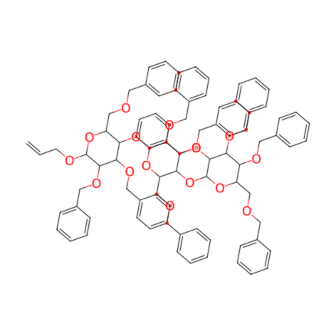 C=CCOC1OC(COCc2ccccc2)C(OC2OC(COCc3ccccc3)C(OC3OC(COCc4ccccc4)C(OCc4ccccc4)C(OCc4ccccc4)C3OCc3ccccc3)C(OCc3ccccc3)C2OCc2ccccc2)C(OCc2ccccc2)C1OCc1ccccc1